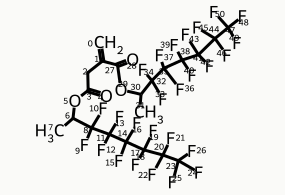 C=C(CC(=O)OC(C)C(F)(F)C(F)(F)C(F)(F)C(F)(F)C(F)(F)C(F)(F)F)C(=O)OC(C)C(F)(F)C(F)(F)C(F)(F)C(F)(F)C(F)(F)C(F)(F)F